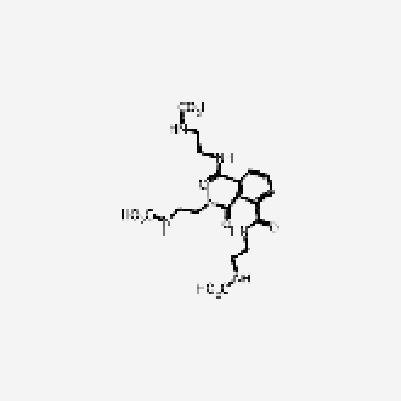 O=C(O)NCCNC(=O)c1cccc(C(=O)NCCNC(=O)O)c1C(=O)NCCNC(=O)O